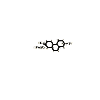 CCCCC[C@]1(C#N)CCC2C(CCC3C[C@H](CCC)CCC32)C1